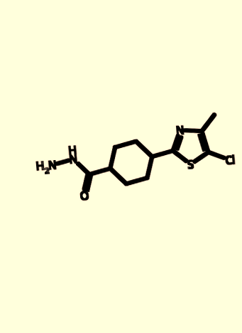 Cc1nc(C2CCC(C(=O)NN)CC2)sc1Cl